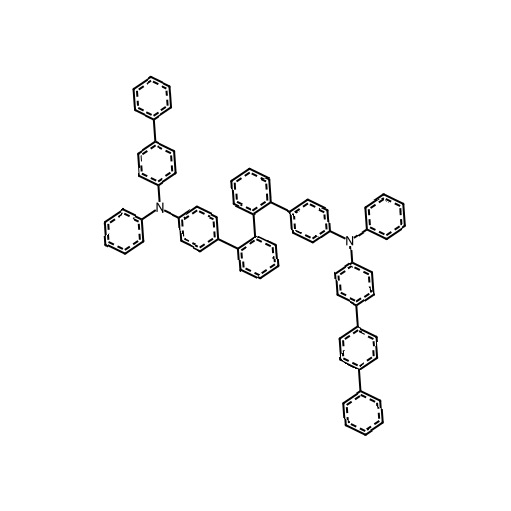 c1ccc(-c2ccc(-c3ccc(N(c4ccccc4)c4ccc(-c5ccccc5-c5ccccc5-c5ccc(N(c6ccccc6)c6ccc(-c7ccccc7)cc6)cc5)cc4)cc3)cc2)cc1